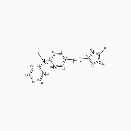 Cc1nc(C#Cc2ccc(N(C)c3ccccn3)nc2)cs1